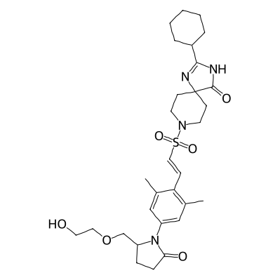 Cc1cc(N2C(=O)CCC2COCCO)cc(C)c1C=CS(=O)(=O)N1CCC2(CC1)N=C(C1CCCCC1)NC2=O